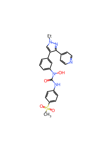 CCn1cc(-c2cccc(N(O)C(=O)Nc3ccc(S(C)(=O)=O)cc3)c2)c(-c2ccncc2)n1